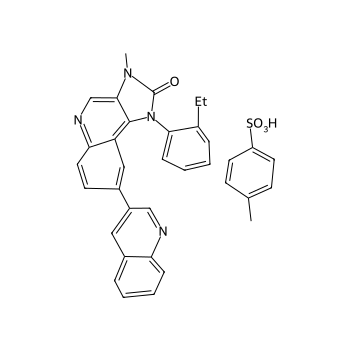 CCc1ccccc1-n1c(=O)n(C)c2cnc3ccc(-c4cnc5ccccc5c4)cc3c21.Cc1ccc(S(=O)(=O)O)cc1